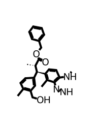 CNc1ccc([C@@H](c2ccc(C)c(CO)c2)[C@H](C)C(=O)OCc2ccccc2)c(C)c1N=N